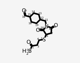 BC(=O)CCSC1CC(=O)N(CC2CCC(C=O)CC2)C1=O